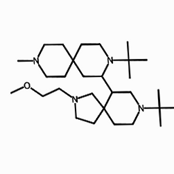 COCCN1CCC2(CCN(C(C)(C)C)CC2C2CC3(CCN(C)CC3)CCN2C(C)(C)C)C1